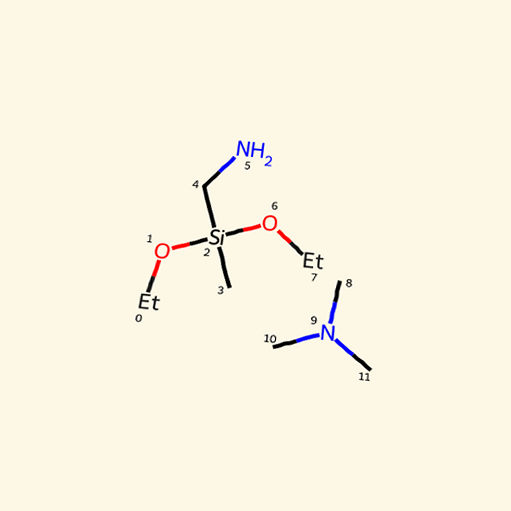 CCO[Si](C)(CN)OCC.CN(C)C